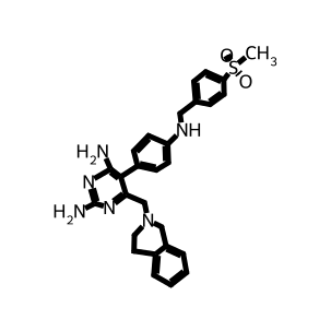 CS(=O)(=O)c1ccc(CNc2ccc(-c3c(N)nc(N)nc3CN3CCc4ccccc4C3)cc2)cc1